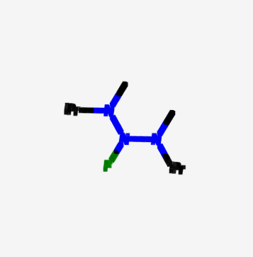 CC(C)N(C)N(F)N(C)C(C)C